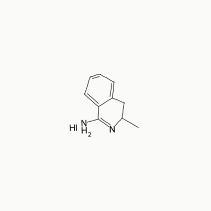 CC1Cc2ccccc2C(N)=N1.I